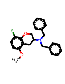 COc1ccc(F)c2c1CC(N(Cc1ccccc1)Cc1ccccc1)CO2